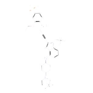 CCOc1cc(S(C)(=O)=O)ccc1NCC#Cc1cc2c(NC3CCC(N4CC5C[C@H](C4)O5)CC3)cccc2n1CC(F)(F)F